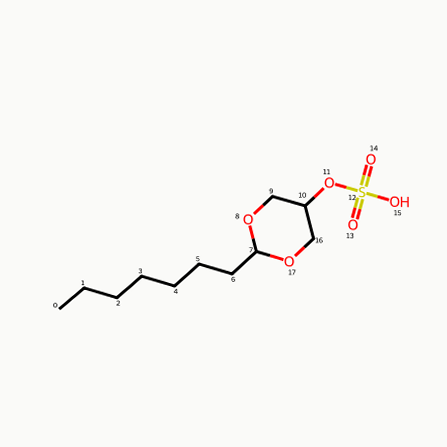 CCCCCCCC1OCC(OS(=O)(=O)O)CO1